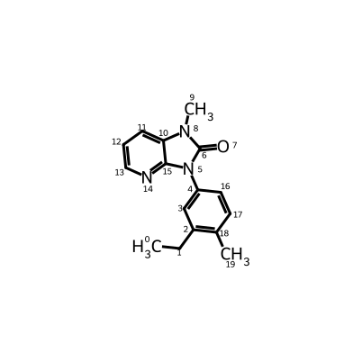 CCc1cc(-n2c(=O)n(C)c3cccnc32)ccc1C